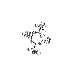 C[Si](C)(C)C#CC1=C2C=CC(=N2)C(C(F)(F)C(F)(F)C(F)(F)F)=C2C=CC(=N2)C(C#C[Si](C)(C)C)=C2C=CC(=N2)C(C(F)(F)C(F)(F)C(F)(F)F)=C2C=CC1=N2